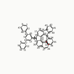 c1ccc(-c2cc(-c3ccccc3)cc(-n3c4ccc5c6c4c4c7c(cccc7ccc43)C6(c3ccccc3)c3ccccc3-5)c2)cc1